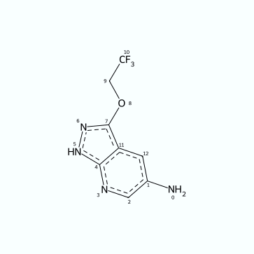 Nc1cnc2[nH]nc(OCC(F)(F)F)c2c1